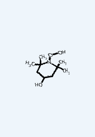 CC1(C)CC(O)CC(C)(C)N1OO